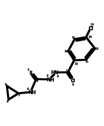 O=C(NNC(=S)NC1CC1)c1ccc(Cl)cc1